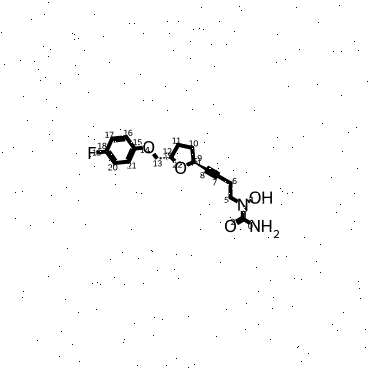 NC(=O)N(O)CCC#C[C@@H]1CC[C@@H](COc2ccc(F)cc2)O1